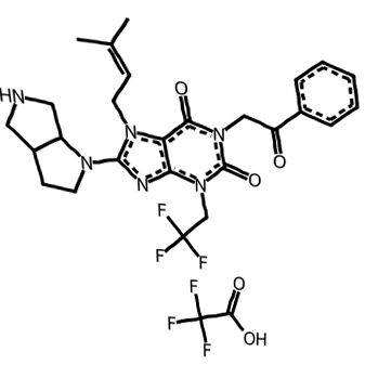 CC(C)=CCn1c(N2CCC3CNCC32)nc2c1c(=O)n(CC(=O)c1ccccc1)c(=O)n2CC(F)(F)F.O=C(O)C(F)(F)F